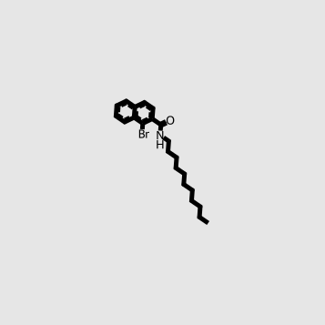 CCCCCCCCCCCNC(=O)c1ccc2ccccc2c1Br